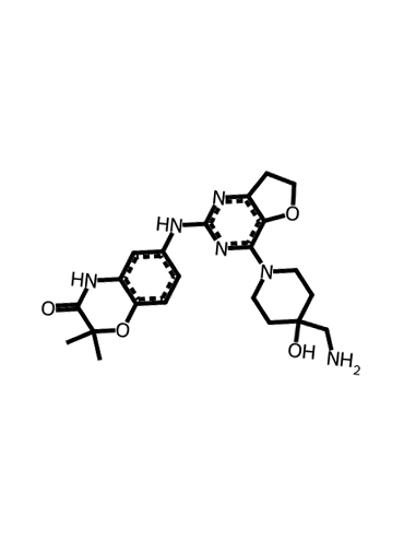 CC1(C)Oc2ccc(Nc3nc4c(c(N5CCC(O)(CN)CC5)n3)OCC4)cc2NC1=O